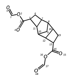 O=COC(=O)C1CC2C3CC(C12)C1C(C(=O)OC=O)CC31